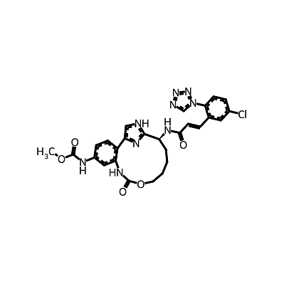 COC(=O)Nc1ccc2c(c1)NC(=O)OCCCC[C@H](NC(=O)/C=C/c1cc(Cl)ccc1-n1cnnn1)c1nc-2c[nH]1